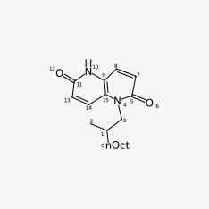 CCCCCCCCC(C)Cn1c(=O)ccc2[nH]c(=O)ccc21